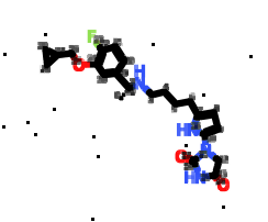 C[C@@H](NCCCCc1ccc(N2CC(=O)NC2=O)[nH]1)c1ccc(F)c(OCC2CC2)c1